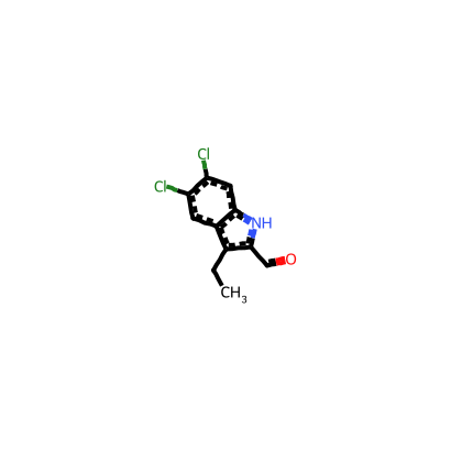 CCc1c(C=O)[nH]c2cc(Cl)c(Cl)cc12